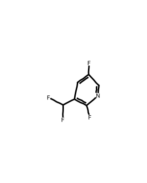 Fc1cnc(F)c(C(F)F)c1